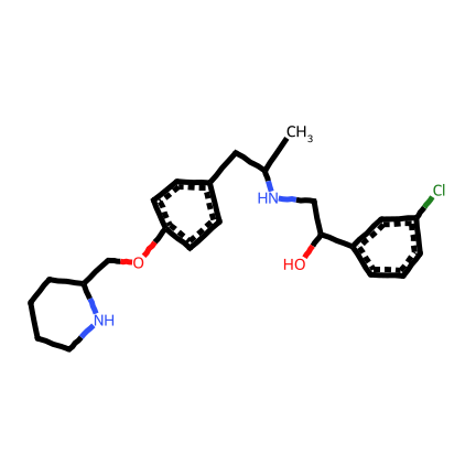 CC(Cc1ccc(OCC2CCCCN2)cc1)NCC(O)c1cccc(Cl)c1